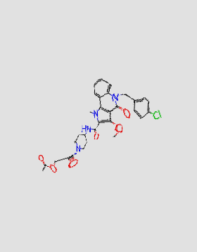 COc1c(C(=O)NC2CCN(C(=O)COC(C)=O)CC2)n(C)c2c1c(=O)n(Cc1ccc(Cl)cc1)c1ccccc21